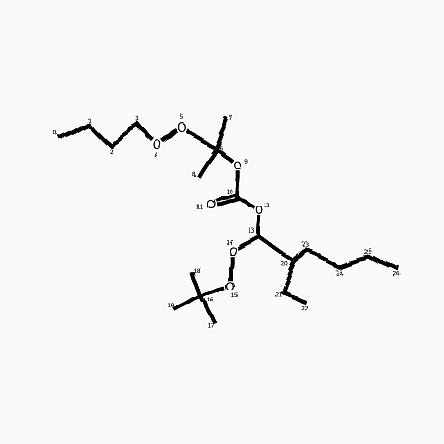 CCCCOOC(C)(C)OC(=O)OC(OOC(C)(C)C)C(CC)CCCC